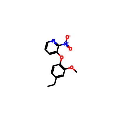 CCc1ccc(Oc2cccnc2[N+](=O)[O-])c(OC)c1